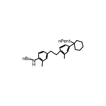 CCCCCC1(c2ccc(CCc3ccc(NCCCC)c(C)c3)c(C)c2)CCCCC1